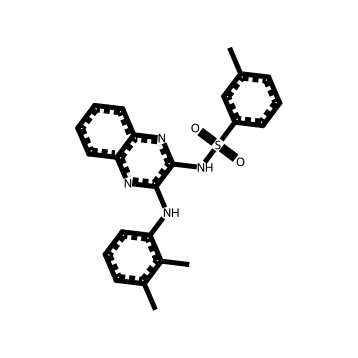 Cc1cccc(S(=O)(=O)Nc2nc3ccccc3nc2Nc2cccc(C)c2C)c1